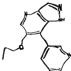 CCOc1cnc2cn[nH]c2c1-c1cccnc1